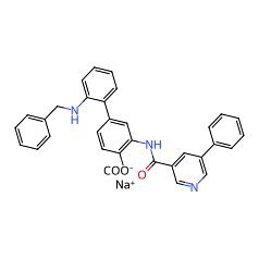 O=C(Nc1cc(-c2ccccc2NCc2ccccc2)ccc1C(=O)[O-])c1cncc(-c2ccccc2)c1.[Na+]